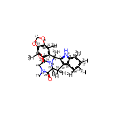 [2H]c1c([2H])c([C@]2([2H])c3[nH]c4c([2H])c([2H])c([2H])c([2H])c4c3C([2H])([2H])[C@@H]3C(=O)N(C)CC(=O)N32)c([2H])c2c1OCO2